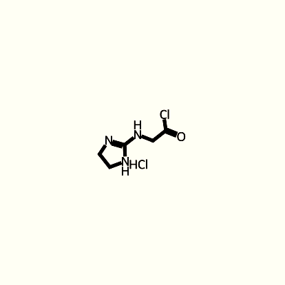 Cl.O=C(Cl)CNC1=NCCN1